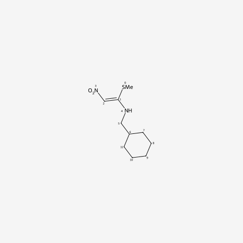 CSC(=C[N+](=O)[O-])NCC1CCCCC1